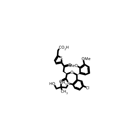 COc1cccc([C@H]2O[C@H](CC(=O)c3ccc(CC(=O)O)s3)C(=O)N(CC(C)(C)CO)c3ccc(Cl)cc32)c1OC